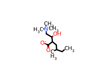 CCC(C)CC(C(=O)[O-])C(O)C[N+](C)(C)C